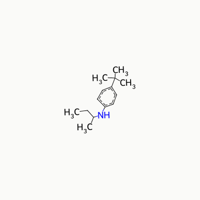 CCC(C)Nc1ccc(C(C)(C)C)cc1